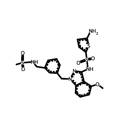 COc1cccc2c1c(NS(=O)(=O)c1ccc(N)s1)nn2Cc1cccc(CNS(C)(=O)=O)c1